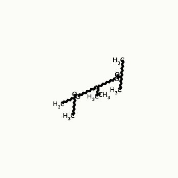 CCCCCCCCC(CCCCCC)C(=O)OCCCCCCCCCN(CCCCCCCCCOC(=O)C(CCCCCC)CCCCCCCC)CCN(C)C